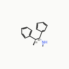 CN[C@@H](c1ccccc1)[C@@H](C)c1ccccc1